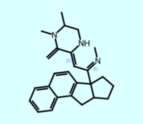 C=C1/C(=C/C(=N\C)C23CCCC2Cc2c3ccc3ccccc23)NCC(C)N1C